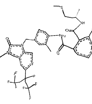 CSC[C@H](C)NC(=O)c1c(Cl)cccc1C(=O)Nc1ccc(Cn2c(=O)n(C)c3cc(C(F)(C(F)(F)F)C(F)(F)F)ncc32)cc1C